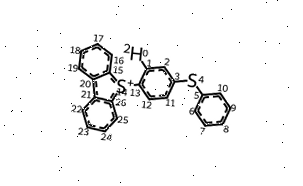 [2H]c1cc(Sc2ccccc2)ccc1-[s+]1c2ccccc2c2ccccc21